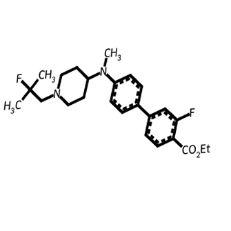 CCOC(=O)c1ccc(-c2ccc(N(C)C3CCN(CC(C)(C)F)CC3)cc2)cc1F